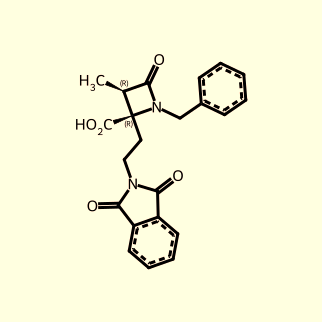 C[C@H]1C(=O)N(Cc2ccccc2)[C@@]1(CCN1C(=O)c2ccccc2C1=O)C(=O)O